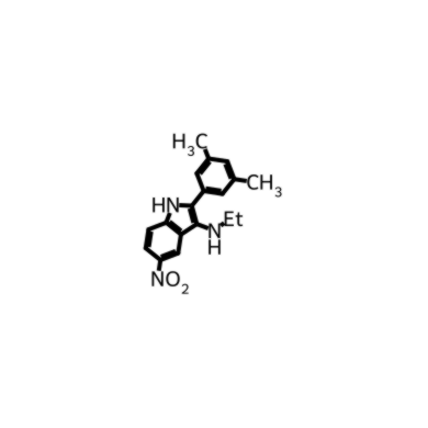 CCNc1c(-c2cc(C)cc(C)c2)[nH]c2ccc([N+](=O)[O-])cc12